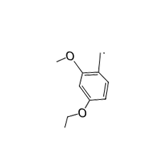 [CH2]c1ccc(OCC)cc1OC